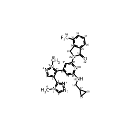 Cn1cnnc1-c1cnn(C)c1-c1cc(NCC2CC2)nc(N2Cc3c(cccc3C(F)(F)F)C2=O)c1